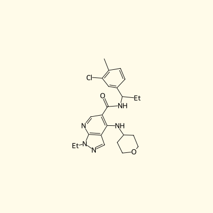 CCC(NC(=O)c1cnc2c(cnn2CC)c1NC1CCOCC1)c1ccc(C)c(Cl)c1